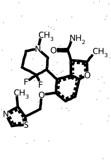 Cc1ncsc1COc1ccc2oc(C)c(C(N)=O)c2c1C1CN(C)CCC1(F)F